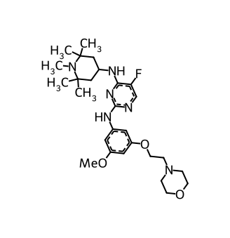 COc1cc(Nc2ncc(F)c(NC3CC(C)(C)N(C)C(C)(C)C3)n2)cc(OCCN2CCOCC2)c1